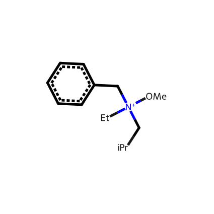 [CH2]C[N+](Cc1ccccc1)(CC(C)C)OC